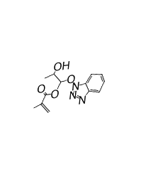 C=C(C)C(=O)OC(On1nnc2ccccc21)C(C)O